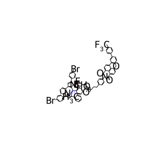 Cc1cc(OC(=O)CCCc2ccc(-n3c(=O)c4ccc5oc6ccc(-c7ccc(C(F)(F)F)cc7)cc6c6ccc(c3=O)c4c56)cc2)cc(C)c1/C(=C1/N=C(c2ccc(Br)cc2)C=C1c1ccccc1)c1c(-c2ccccc2)cc(-c2ccc(Br)cc2)n1B(F)F